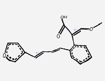 CO/C=C(/C(=O)O)c1ccccc1C=C/C=C/c1ccoc1